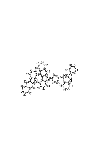 c1ccc(-c2nc(-c3ccc(-n4c5cc6ccccc6cc5c5c(-n6c7ccccc7c7cc8ccccc8cc76)cccc54)cc3)c3ccccc3n2)cc1